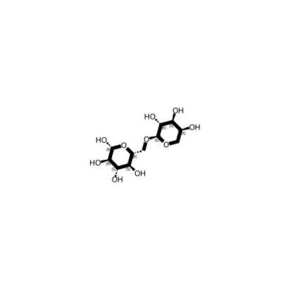 O[C@@H]1[C@@H](O)[C@H](O)O[C@H](CO[C@@H]2OC[C@H](O)[C@H](O)[C@H]2O)[C@H]1O